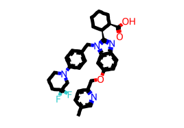 Cc1ccc(COc2ccc3nc([C@H]4CCCC[C@H]4C(=O)O)n(Cc4ccc(N5CCCC(F)(F)C5)cc4)c3c2)nc1